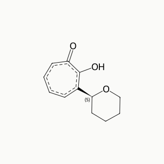 O=c1ccccc([C@@H]2CCCCO2)c1O